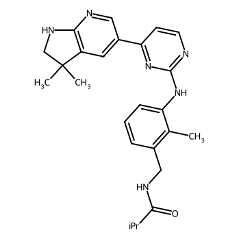 Cc1c(CNC(=O)C(C)C)cccc1Nc1nccc(-c2cnc3c(c2)C(C)(C)CN3)n1